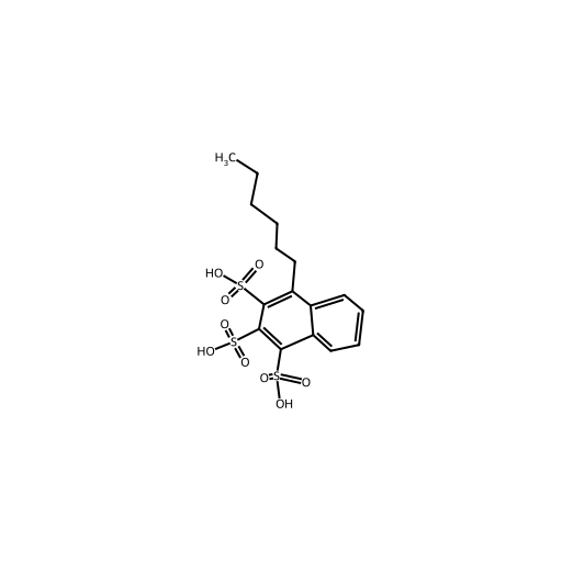 CCCCCCc1c(S(=O)(=O)O)c(S(=O)(=O)O)c(S(=O)(=O)O)c2ccccc12